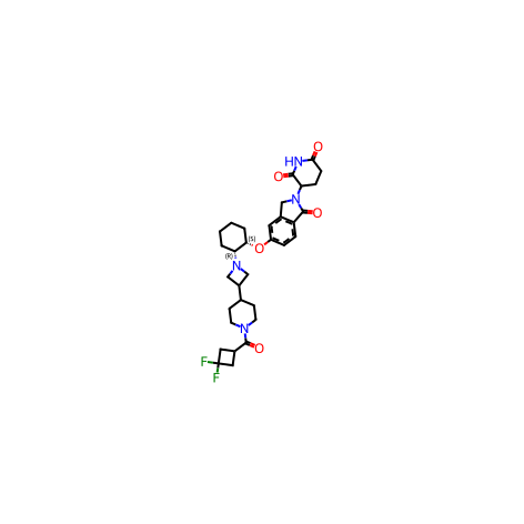 O=C1CCC(N2Cc3cc(O[C@H]4CCCC[C@H]4N4CC(C5CCN(C(=O)C6CC(F)(F)C6)CC5)C4)ccc3C2=O)C(=O)N1